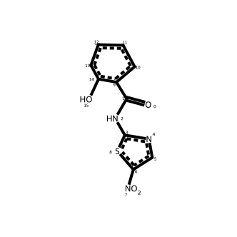 O=C(Nc1ncc([N+](=O)[O-])s1)c1cc[c]cc1O